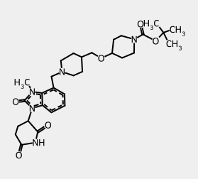 Cn1c(=O)n(C2CCC(=O)NC2=O)c2cccc(CN3CCC(COC4CCN(C(=O)OC(C)(C)C)CC4)CC3)c21